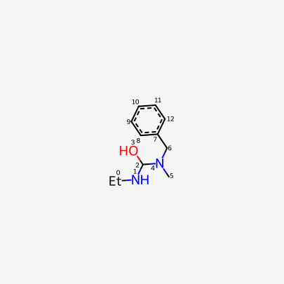 CCNC(O)N(C)Cc1ccccc1